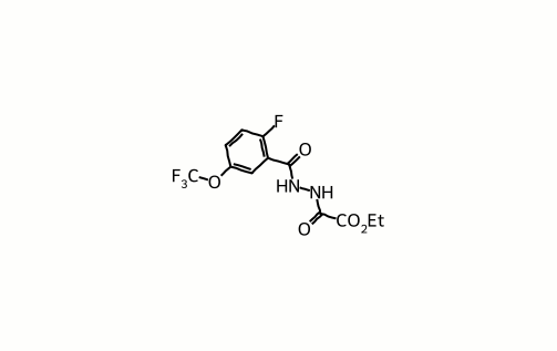 CCOC(=O)C(=O)NNC(=O)c1cc(OC(F)(F)F)ccc1F